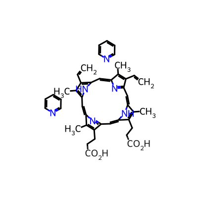 C=CC1=C(C)c2cc3[nH]c(cc4nc(cc5[nH]c(cc1n2)c(C)c5CCC(=O)O)C(CCC(=O)O)=C4C)c(C)c3C=C.c1ccncc1.c1ccncc1